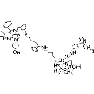 Cc1ncsc1-c1ccc(CNC(=O)[C@@H]2C[C@@H](O)CN2C(=O)[C@@H](NC(=O)CCCCCCCNC(=O)CCCCC#Cc2cccc(Cn3c(-c4ccccc4)c(-c4ccccc4)c4c(=N)n(C5CCC(O)CC5)cnc43)c2)C(C)(C)C)cc1